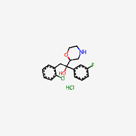 Cl.O[C@](Cc1ccccc1Cl)(c1cccc(F)c1)C1CNCCO1